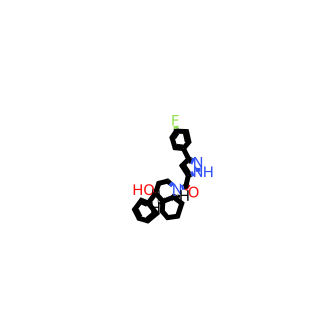 O=C(c1cc(-c2ccc(F)cc2)n[nH]1)N1CC[C@](O)(c2ccccc2)[C@H]2CCCC[C@H]21